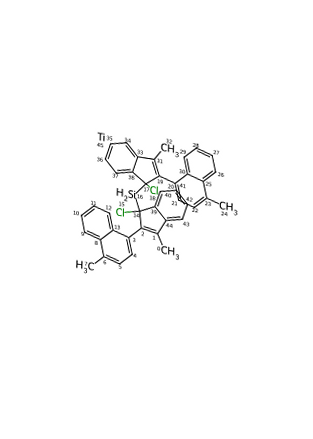 CC1=C(c2ccc(C)c3ccccc23)C(Cl)([SiH2]C2(Cl)C(c3ccc(C)c4ccccc34)=C(C)c3ccccc32)c2ccccc21.[Ti]